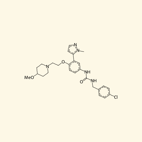 COC1CCN(CCOc2ccc(NC(=O)NCc3ccc(Cl)cc3)cc2-c2ccnn2C)CC1